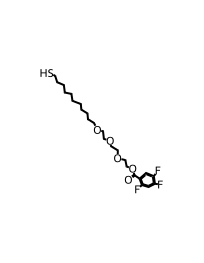 O=C(OCCOCCOCCOCCCCCCCCCCCS)c1cc(F)c(F)cc1F